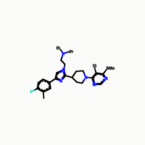 CCc1c(NC)ncnc1N1CCC(c2nc(-c3ccc(F)c(C)c3)cn2CCN(CC)C(C)C)CC1